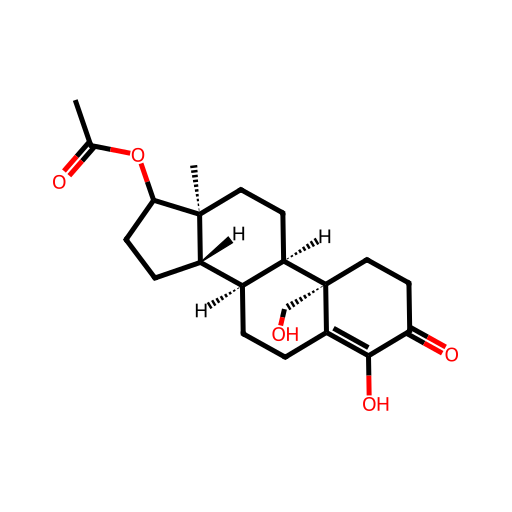 CC(=O)OC1CC[C@H]2[C@@H]3CCC4=C(O)C(=O)CC[C@]4(CO)[C@@H]3CC[C@]12C